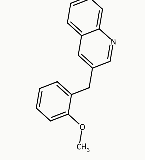 COc1ccccc1Cc1cnc2ccccc2c1